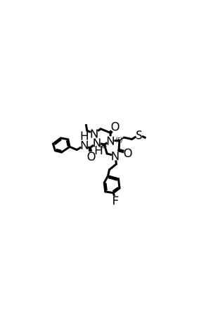 CCN1CC(=O)N2[C@@H](CCSC)C(=O)N(CCc3ccc(F)cc3)C[C@@H]2N1C(=O)NCc1ccccc1